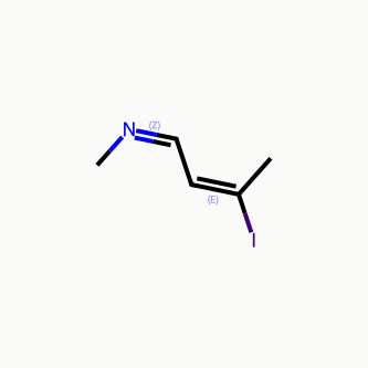 C/N=C\C=C(/C)I